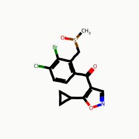 C[S+]([O-])Cc1c(C(=O)c2cnoc2C2CC2)ccc(Cl)c1Br